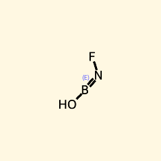 O/B=N/F